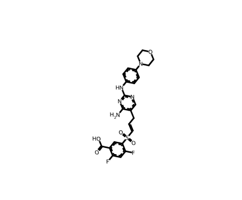 Nc1nc(Nc2ccc(N3CCOCC3)cc2)ncc1CC=CS(=O)(=O)c1cc(C(=O)O)c(F)cc1F